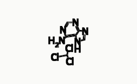 ClC(Cl)Cl.Nc1ncnc2nc[nH]c12